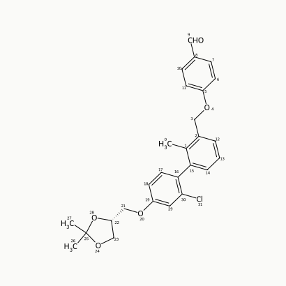 Cc1c(COc2ccc(C=O)cc2)cccc1-c1ccc(OC[C@@H]2COC(C)(C)O2)cc1Cl